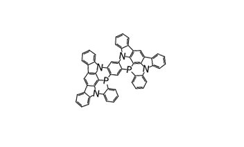 c1ccc2c(c1)c1cc3c4ccccc4n4c5cc6c(cc5p5c7ccccc7n2c1c5c34)p1c2ccccc2n2c3ccccc3c3cc4c5ccccc5n6c4c1c32